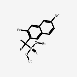 [C-]#[N+]c1ccc2cc(C(F)(F)P(=O)(OCC)OCC)c(Br)cc2c1